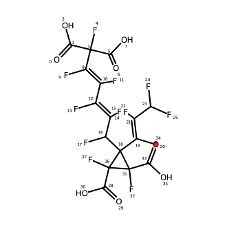 O=C(O)C(F)(C(=O)O)/C(F)=C(F)/C(F)=C(\F)C(F)C1(/C(F)=C(\F)C(F)F)C(F)(C(=O)O)C1(F)C(=O)O